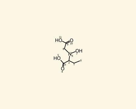 CCC(C(=O)O)N(O)CC(=O)O